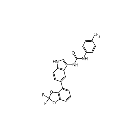 O=C(Nc1ccc(C(F)(F)F)cc1)Nc1c[nH]c2ccc(-c3cccc4c3OC(F)(F)O4)cc12